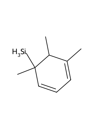 CC1=CC=CC(C)([SiH3])C1C